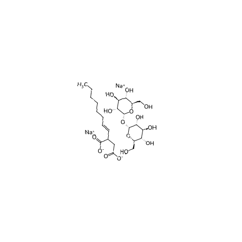 CCCCCCC=CC(CC(=O)[O-])C(=O)[O-].OC[C@H]1O[C@H](O[C@H]2O[C@H](CO)[C@@H](O)[C@H](O)[C@H]2O)[C@H](O)[C@@H](O)[C@@H]1O.[Na+].[Na+]